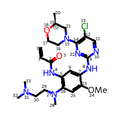 C=CC(=O)Nc1cc(Nc2ncc(Cl)c(N3CCO[C@@H](C)C3)n2)c(OC)cc1N(C)CCN(C)C